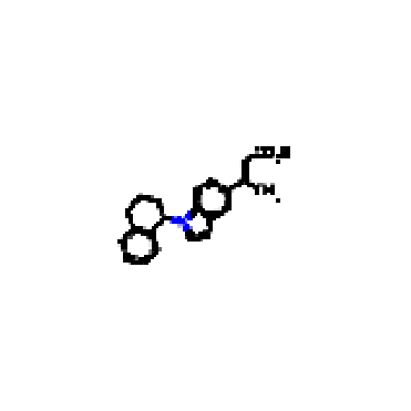 CC(=CC(=O)O)c1ccc2c(ccn2C2CCCc3ccccc32)c1